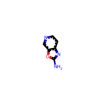 Nc1nc2ccncc2o1